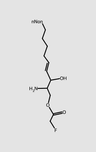 CCCCCCCCCCCCCC=CC(O)C(N)COC(=O)CF